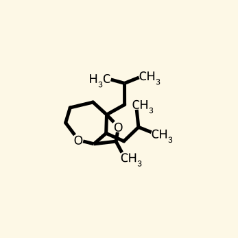 CC(C)CC1C2OCCCC1(CC(C)C)OC2C